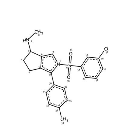 CNC1CCc2c1cn(S(=O)(=O)c1cccc(Cl)c1)c2-c1ccc(C)nc1